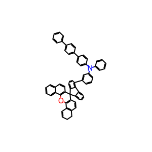 C1=Cc2c(ccc3c2Oc2c(ccc4ccccc24)C32c3ccccc3-c3c(-c4cccc(N(c5ccccc5)c5ccc(-c6ccc(-c7ccccc7)cc6)cc5)c4)cccc32)CC1